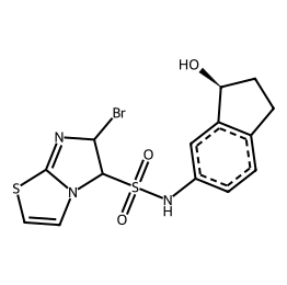 O=S(=O)(Nc1ccc2c(c1)[C@@H](O)CC2)C1C(Br)N=C2SC=CN21